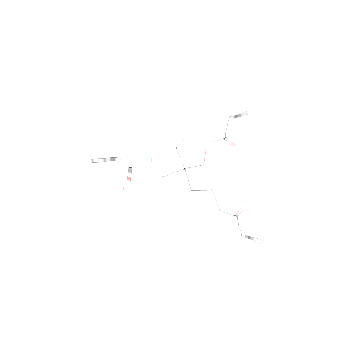 C=CC(=O)CCCC(CC)(COC(=O)C=C)COC(=O)C=C